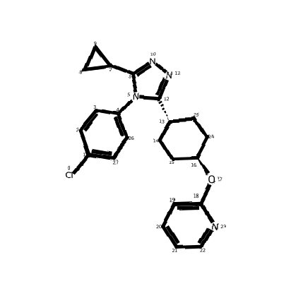 Clc1ccc(-n2c(C3CC3)nnc2[C@H]2CC[C@H](Oc3ccccn3)CC2)cc1